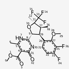 COC(=O)c1c(C)[nH]c([C@@H]2O[C@@](C)(C(F)(F)F)[C@@H](C)[C@H]2c2ccc(F)c(F)c2OC)nc1=O